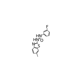 Cc1ccc2nc(NC(=O)Nc3cccc(F)c3)sc2c1